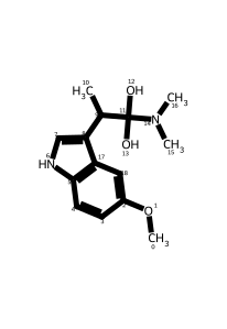 COc1ccc2[nH]cc(C(C)C(O)(O)N(C)C)c2c1